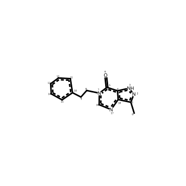 Cc1n[nH]c2c(=O)n(CCc3ccccc3)cnc12